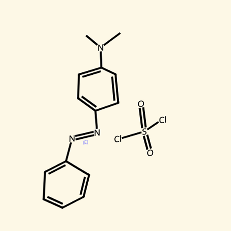 CN(C)c1ccc(/N=N/c2ccccc2)cc1.O=S(=O)(Cl)Cl